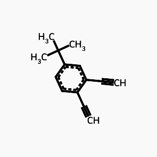 C#Cc1ccc(C(C)(C)C)cc1C#C